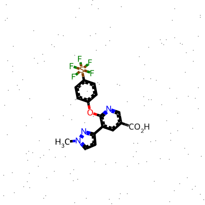 Cn1ccc(-c2cc(C(=O)O)cnc2Oc2ccc(S(F)(F)(F)(F)F)cc2)n1